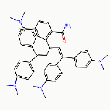 CN(C)c1ccc(C(=CC(C=C(c2ccc(N(C)C)cc2)c2ccc(N(C)C)cc2)c2cc([N+](=O)[O-])ccc2C(N)=O)c2ccc(N(C)C)cc2)cc1